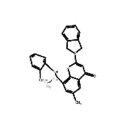 Cc1cc([C@H](C)Nc2ccccc2C(=O)O)c2oc(N3Cc4ccccc4C3)cc(=O)c2c1